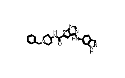 O=C(NC1CCN(Cc2ccccc2)CC1)c1cc2c(Nc3ccc4cn[nH]c4c3)ncnc2s1